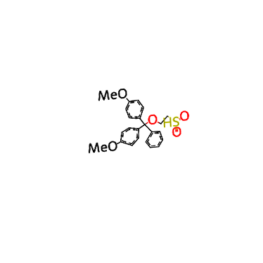 COc1ccc(C(OCC[SH](=O)=O)(c2ccccc2)c2ccc(OC)cc2)cc1